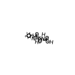 NC(Cc1ccccc1)C(=O)NCC(=O)NCC(=O)O